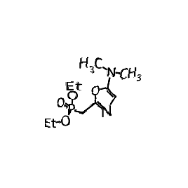 CCOP(=O)(Cc1ncc(N(C)C)o1)OCC